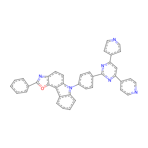 c1ccc(-c2nc3ccc4c(c5ccccc5n4-c4ccc(-c5nc(-c6ccncc6)cc(-c6ccncc6)n5)cc4)c3o2)cc1